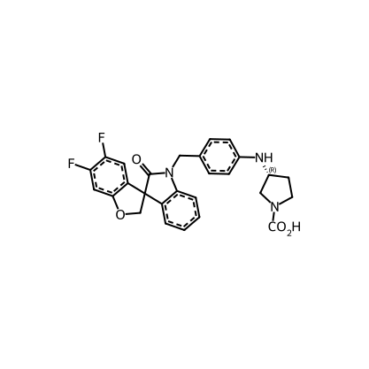 O=C(O)N1CC[C@@H](Nc2ccc(CN3C(=O)C4(COc5cc(F)c(F)cc54)c4ccccc43)cc2)C1